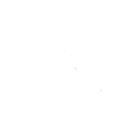 CCCCCNCC(=O)OCc1ccccc1